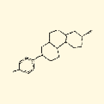 CCCC1CCC2C(CCC3CC(c4ccc(C)cc4)CCC32)C1